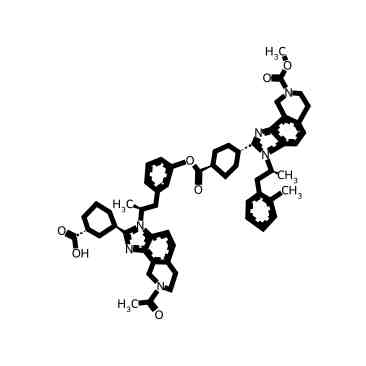 COC(=O)N1CCc2ccc3c(nc([C@H]4CC[C@H](C(=O)Oc5cccc(C[C@H](C)n6c([C@@H]7CCC[C@@H](C(=O)O)C7)nc7c8c(ccc76)CCN(C(C)=O)C8)c5)CC4)n3[C@H](C)Cc3ccccc3C)c2C1